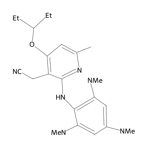 CCC(CC)Oc1cc(C)nc(Nc2c(NC)cc(NC)cc2NC)c1CC#N